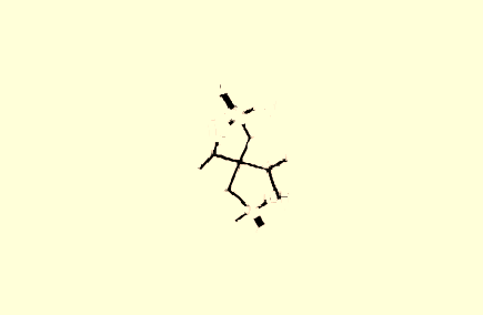 CC(C)C(CP(=O)(O)O)(CP(=O)(O)O)C(C)C